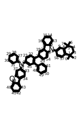 CC1(C)CCC(C)(C)c2cc(-n3c4ccccc4c4cc(-c5ccc(N(c6ccccc6)c6ccc7c(c6)oc6ccccc67)cc5-c5ccccc5)ccc43)ccc21